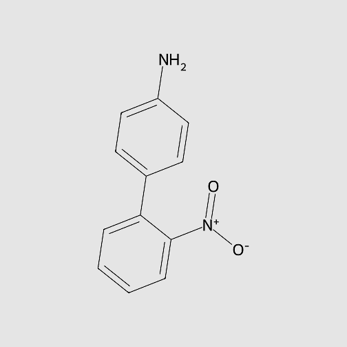 Nc1ccc(-c2ccccc2[N+](=O)[O-])cc1